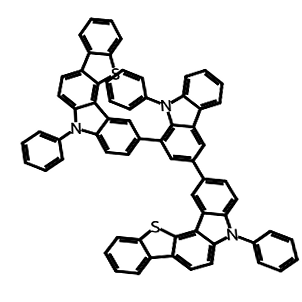 c1ccc(-n2c3ccc(-c4cc(-c5ccc6c(c5)c5c7sc8ccccc8c7ccc5n6-c5ccccc5)c5c(c4)c4ccccc4n5-c4ccccc4)cc3c3c4sc5ccccc5c4ccc32)cc1